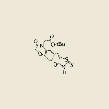 CC(C)(C)OC(=O)CN1C(=O)COc2ccc(C=C3SC(=S)NC3=O)cc21